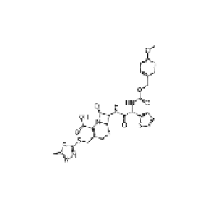 COc1ccc(COC(=O)NC(C(=O)N[C@@H]2C(=O)N3C(C(=O)O)=C(CSc4nnc(C)s4)CSC23)c2cccs2)cc1